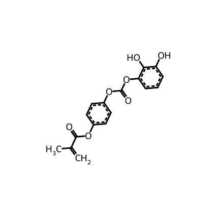 C=C(C)C(=O)Oc1ccc(OC(=O)Oc2cccc(O)c2O)cc1